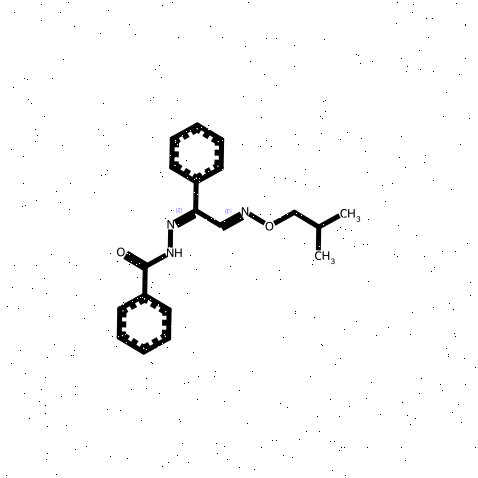 CC(C)CO/N=C/C(=N\NC(=O)c1ccccc1)c1ccccc1